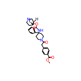 COC(=O)c1ccc(CC(=O)N2CCC(NC(=O)O[C@H]3CN4CCC3CC4)(c3ccccc3)CC2)cc1